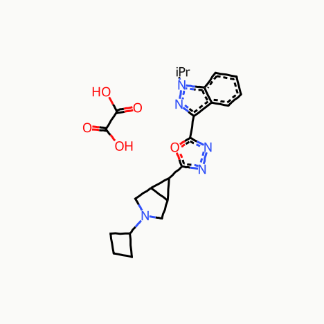 CC(C)n1nc(-c2nnc(C3C4CN(C5CCC5)CC43)o2)c2ccccc21.O=C(O)C(=O)O